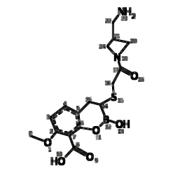 COc1ccc2c(c1C(=O)O)OB(O)C(SCC(=O)N1CC(CN)C1)C2